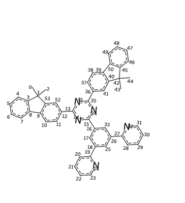 CC1(C)c2ccccc2-c2ccc(-c3nc(-c4cc(-c5ccccn5)cc(-c5ccccn5)c4)nc(-c4ccc5c(c4)C(C)(C)c4ccccc4-5)n3)cc21